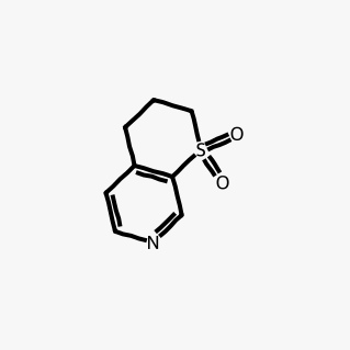 O=S1(=O)CCCc2ccncc21